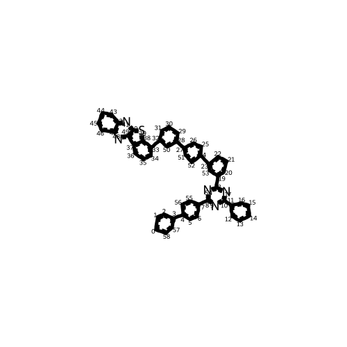 c1ccc(-c2ccc(-c3nc(-c4ccccc4)nc(-c4cccc(-c5ccc(-c6cccc(-c7cccc8c7sc7nc9ccccc9nc78)c6)cc5)c4)n3)cc2)cc1